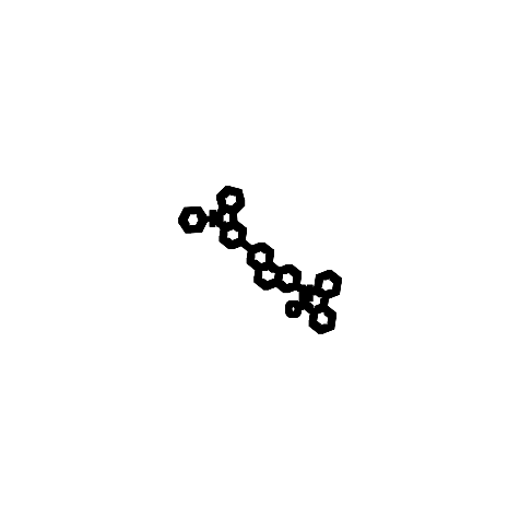 O=c1c2ccccc2c2ccccc2n1-c1ccc2c(ccc3cc(-c4ccc5c(c4)c4ccccc4n5-c4ccccc4)ccc32)c1